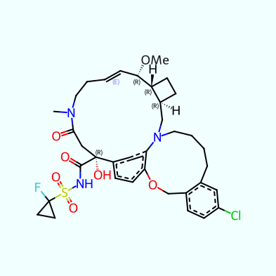 CO[C@H]1/C=C/CCN(C)C(=O)C[C@](O)(C(=O)NS(=O)(=O)C2(F)CC2)c2ccc3c(c2)N(CCCCc2cc(Cl)ccc2CO3)C[C@@H]2CC[C@H]21